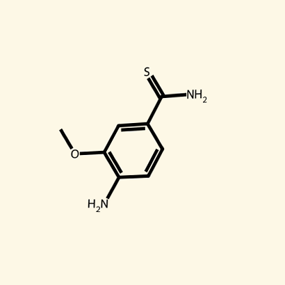 COc1cc(C(N)=S)ccc1N